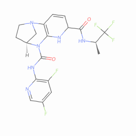 C[C@@H](NC(=O)C1C=CC2=C(N1)N(C(=O)Nc1ncc(F)cc1F)[C@H]1CCN2C1)C(F)(F)F